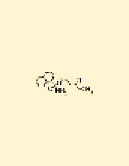 CCC(Cl)CCCCc1ccc2ccccc2c1S(N)(=O)=O